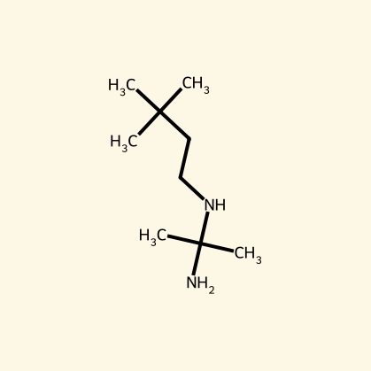 CC(C)(C)CCNC(C)(C)N